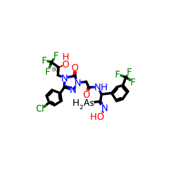 O=C(Cn1nc(-c2ccc(Cl)cc2)n(C[C@H](O)C(F)(F)F)c1=O)NC(C([AsH2])=NO)c1cccc(C(F)(F)F)c1